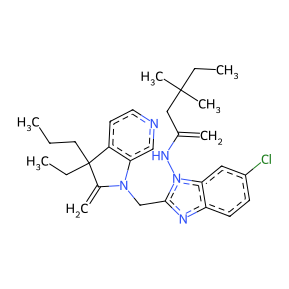 C=C(CC(C)(C)CC)Nn1c(CN2C(=C)C(CC)(CCC)c3ccncc32)nc2ccc(Cl)cc21